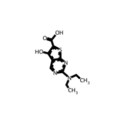 CCN(CC)c1ncc2c(O)c(C(=O)O)sc2n1